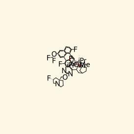 COc1c(F)c(-c2cc(OC(F)F)cc3ccc(F)c(C#C[Si](C(C)C)(C(C)C)C(C)C)c23)c(F)c2nc(OC[C@@]34CCCN3C[C@H](F)C4)nc(C3CC4CCC(C4)C3)c12